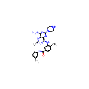 C=C/N=C1/C(N)=NC(N2CCNCC2)=N/C1=C(/N)Nc1cc(C(=O)Nc2cccc(C(F)(F)F)c2)ccc1C